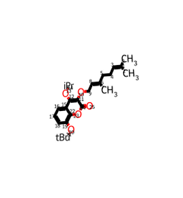 CC(C)=CCC/C(C)=C/COc1c(OC(C)C)c2cccc(OC(C)(C)C)c2oc1=O